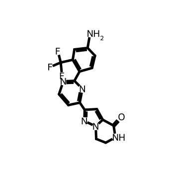 Nc1ccc(-c2nccc(-c3cc4n(n3)CCNC4=O)n2)c(C(F)(F)F)c1